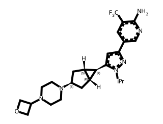 CC(C)n1nc(-c2cnc(N)c(C(F)(F)F)c2)cc1[C@H]1[C@@H]2C[C@@H](N3CCN(C4COC4)CC3)C[C@@H]21